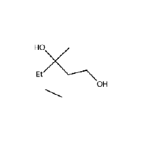 CC.CCC(C)(O)CCO